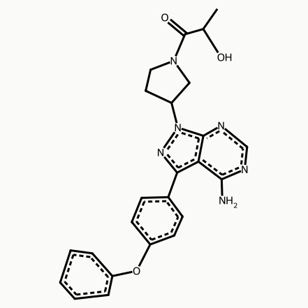 CC(O)C(=O)N1CCC(n2nc(-c3ccc(Oc4ccccc4)cc3)c3c(N)ncnc32)C1